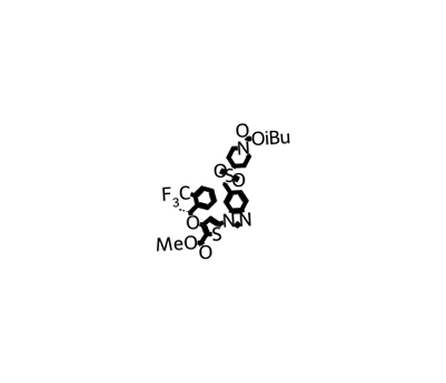 COC(=O)c1sc(-n2cnc3ccc(CS(=O)(=O)C4CCN(C(=O)OCC(C)C)CC4)cc32)cc1O[C@H](C)c1ccccc1C(F)(F)F